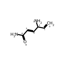 C=CC(N)C=CC(N)=O